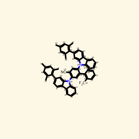 Cc1cc(C)c(-c2ccc3c4ccccc4n(-c4cc(-c5c(C(F)(F)F)cccc5C(F)(F)F)c(-n5c6ccccc6c6ccc(-c7c(C)cc(C)cc7C)cc65)cc4C#N)c3c2)c(C)c1